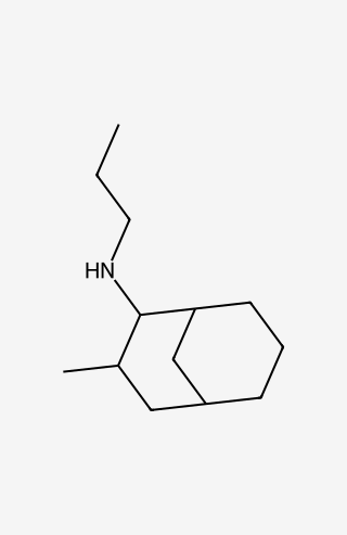 CCCNC1C(C)CC2CCCC1C2